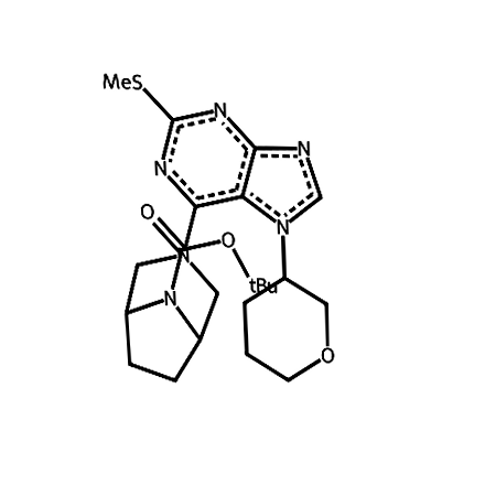 CSc1nc(N2CC3CCC(C2)N3C(=O)OC(C)(C)C)c2c(ncn2C2CCCOC2)n1